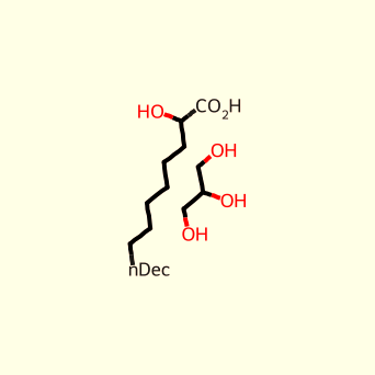 CCCCCCCCCCCCCCCCC(O)C(=O)O.OCC(O)CO